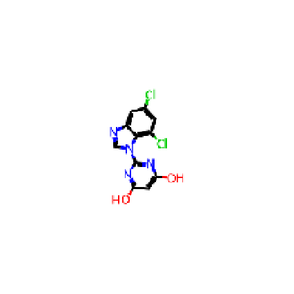 Oc1cc(O)nc(-n2cnc3cc(Cl)cc(Cl)c32)n1